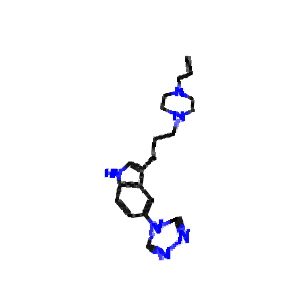 C=CCN1CCN(CCCc2c[nH]c3ccc(-n4cnnc4)cc23)CC1